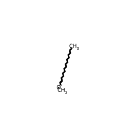 [CH2]OCC=CCCCCCCCCCCCCCCC